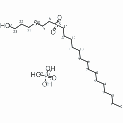 CCCCCCCCCCCCCCCS(=O)(=O)CCSCCCO.O=P(O)(O)O